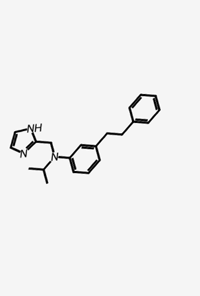 CC(C)N(Cc1ncc[nH]1)c1cccc(CCc2ccccc2)c1